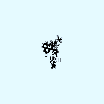 CC(C)(C)OC(=O)NNCc1cc2nccc(-c3cc(Cl)cc4c3N(C3CN(C(=O)OC(C)(C)C)C3)CCC4)c2s1